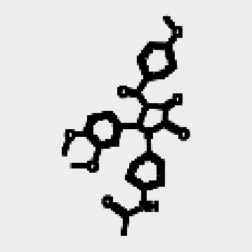 COc1ccc(C(=O)C2C(=O)C(=O)N(c3ccc(NC(C)=O)cc3)C2c2ccc(OC)c(OC)c2)cc1